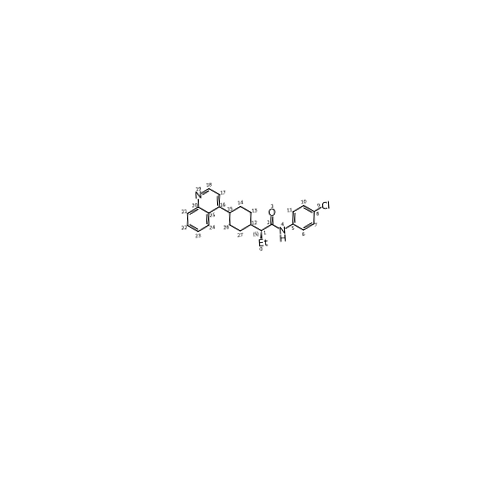 CC[C@H](C(=O)Nc1ccc(Cl)cc1)C1CCC(c2ccnc3ccccc23)CC1